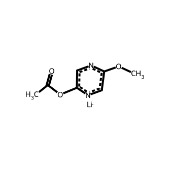 COc1cnc(OC(C)=O)cn1.[Li]